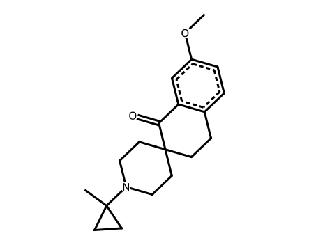 COc1ccc2c(c1)C(=O)C1(CC2)CCN(C2(C)CC2)CC1